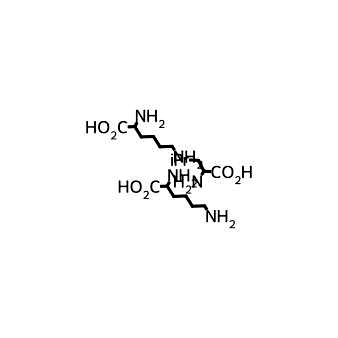 CC(C)CC(N)C(=O)O.NCCCCC(N)C(=O)O.NCCCCC(N)C(=O)O